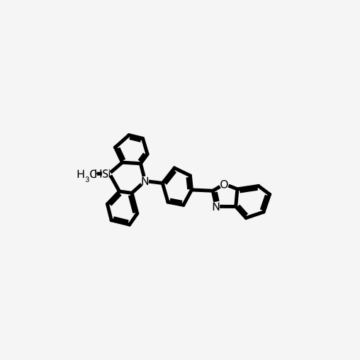 C[SiH]1c2ccccc2N(c2ccc(-c3nc4ccccc4o3)cc2)c2ccccc21